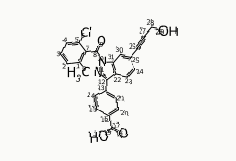 Cc1cccc(Cl)c1C(=O)n1nc(-c2ccc(C(=O)O)cc2)c2ccc(C#CCO)cc21